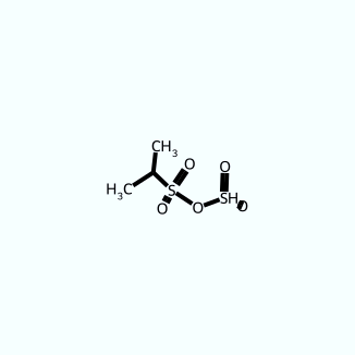 CC(C)S(=O)(=O)O[SH](=O)=O